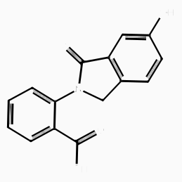 O=C(O)c1ccccc1N1Cc2ccc(O)cc2C1=O